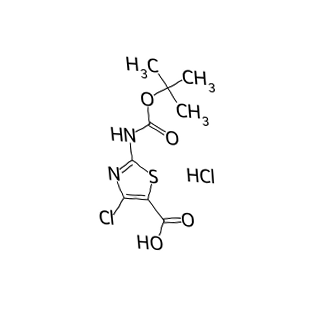 CC(C)(C)OC(=O)Nc1nc(Cl)c(C(=O)O)s1.Cl